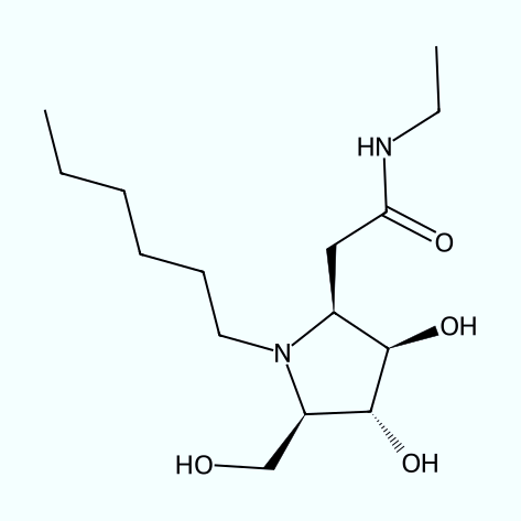 CCCCCCN1[C@H](CO)[C@@H](O)[C@H](O)[C@@H]1CC(=O)NCC